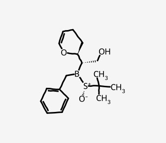 CC(C)(C)[S@+]([O-])B(Cc1ccccc1)[C@@H](CO)[C@@H]1CCC=CO1